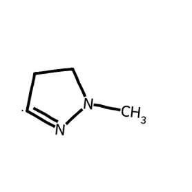 CN1CC[C]=N1